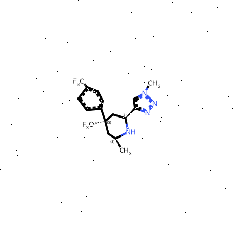 C[C@H]1C[C@](c2ccc(C(F)(F)F)cc2)(C(F)(F)F)C[C@@H](c2cn(C)nn2)N1